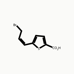 O=C(O)c1ccc(/C=C\CBr)s1